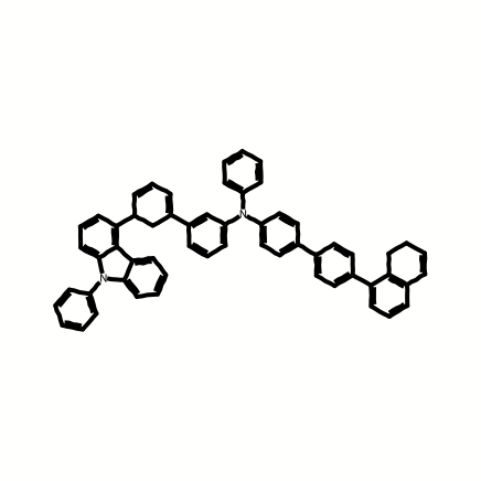 C1=CC(c2cccc3c2c2ccccc2n3-c2ccccc2)CC(c2cccc(N(c3ccccc3)c3ccc(-c4ccc(-c5cccc6c5CCC=C6)cc4)cc3)c2)=C1